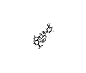 CN(C)c1ccc2cnn(C)c2c1NS(=O)(=O)c1cnn(-c2ccnc(C(F)(F)F)c2)c1